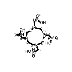 O=[PH](O)CN1CCN(C[PH](=O)O)CCN(C[PH](=O)O)CCN(C[PH](=O)O)CC1